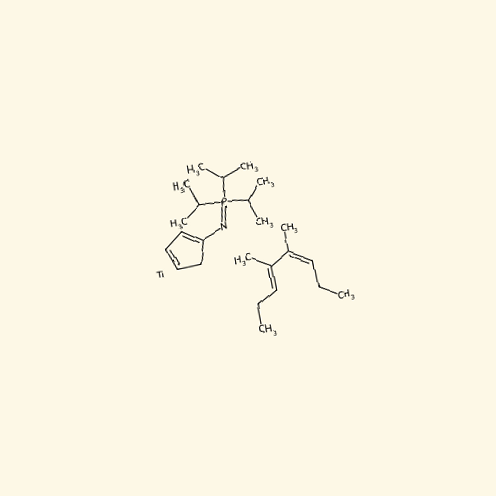 CC(C)P(=NC1=CC=CC1)(C(C)C)C(C)C.CCC=C(C)C(C)=CCC.[Ti]